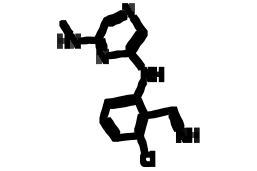 CNc1cncc(Nc2cccc(Cl)c2C=N)n1